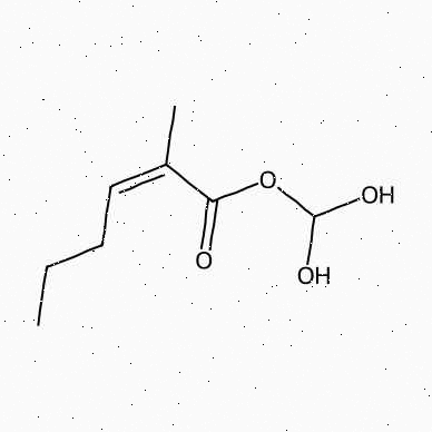 CCCC=C(C)C(=O)OC(O)O